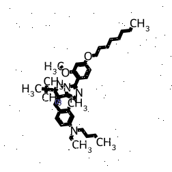 CCCCCCCCOc1ccc(-c2nnc3/c(=C\c4ccc(N(CC)CCCC)cc4C)c(C(C)(C)C)nn23)c(OC)c1